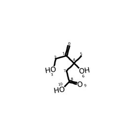 C=C(CO)C(C)(O)CC(=O)O